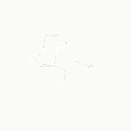 CC(CN)C1=C/C=C/C=C\C=C\1